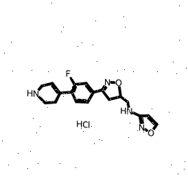 Cl.Fc1cc(C2=NOC(CNc3ccon3)C2)ccc1C1=CCNCC1